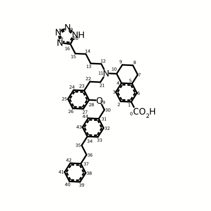 O=C(O)c1ccc2c(c1)CCCC2N(CCCCc1nnn[nH]1)CCc1ccccc1OCc1ccc(CCc2ccccc2)cc1